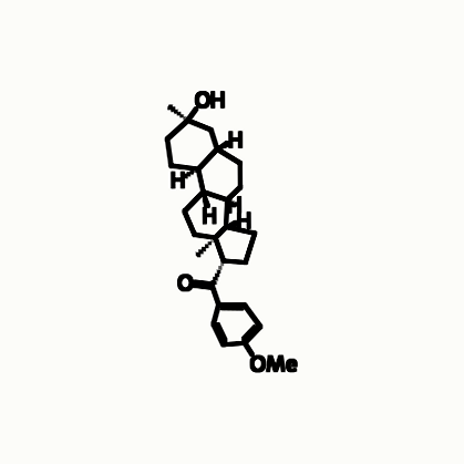 COc1ccc(C(=O)[C@H]2CC[C@H]3[C@@H]4CC[C@H]5C[C@](C)(O)CC[C@@H]5[C@H]4CC[C@]23C)cc1